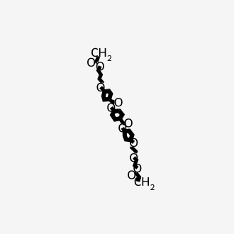 C=CC(=O)OCCCCOc1ccc(C(=O)Oc2ccc(C(=O)Oc3ccc(OCCOCCOC(=O)C=C)cc3)cc2)cc1